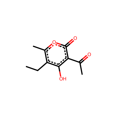 CCc1c(C)oc(=O)c(C(C)=O)c1O